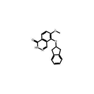 COc1ccc2c(=O)[nH]ncc2c1OC1Cc2ccccc2C1